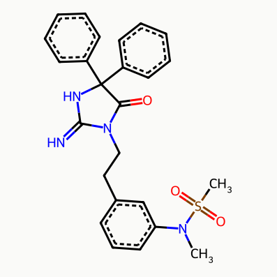 CN(c1cccc(CCN2C(=N)NC(c3ccccc3)(c3ccccc3)C2=O)c1)S(C)(=O)=O